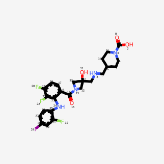 O=C(O)N1CCC(CNCC2(O)CN(C(=O)c3ccc(F)c(F)c3Nc3ccc(I)cc3F)C2)CC1